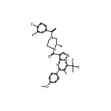 C=C(c1ccc(F)c(F)c1)N1CCN(C(=O)c2cnn3c(C(F)(F)F)c(C)c(-c4ccc(OC)cc4)nc23)[C@H](C)C1